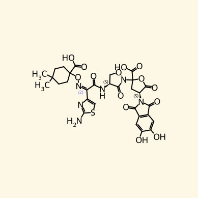 CC1(C)CCC(O/N=C(\C(=O)N[C@H]2CON(C3(C(=O)O)C[C@H](N4C(=O)c5cc(O)c(O)cc5C4=O)C(=O)O3)C2=O)c2csc(N)n2)(C(=O)O)CC1